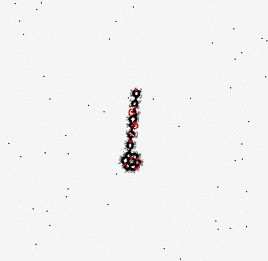 c1ccc(-c2ccc(-c3cc4cc5oc(-c6ccc(-c7ccc(-c8cc9ccc%10ccc%11ccc%12ccc%13ccc8c8c%13c%12c%11c%10c98)cc7)cc6)cc5cc4o3)cc2)cc1